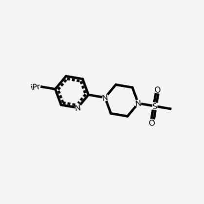 CC(C)c1ccc(N2CCN(S(C)(=O)=O)CC2)nc1